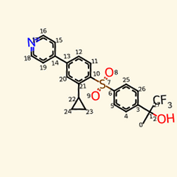 CC(O)(c1ccc(S(=O)(=O)c2ccc(-c3ccncc3)cc2C2CC2)cc1)C(F)(F)F